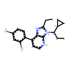 CCc1nc2c(-c3ccc(Cl)cc3Cl)ccnc2n1C(CC)C1CC1